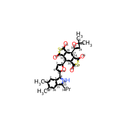 Cc1cc2c(-c3ccc(-c4c5c(=O)sc(=O)c5c(C5=CC(C)(C)O5)c5c(=O)sc(=O)c45)o3)[nH]c(C(C)C)c2cc1C